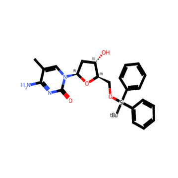 Cc1cn([C@H]2C[C@H](O)[C@@H](CO[Si](c3ccccc3)(c3ccccc3)C(C)(C)C)O2)c(=O)nc1N